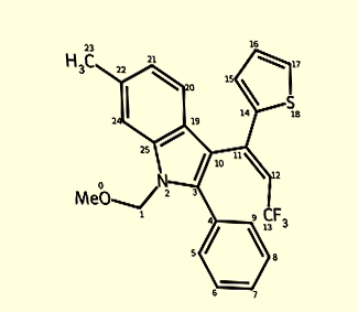 COCn1c(-c2ccccc2)c(/C(=C\C(F)(F)F)c2cccs2)c2ccc(C)cc21